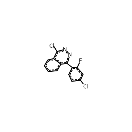 Fc1cc(Cl)ccc1-c1nnc(Cl)c2ccccc12